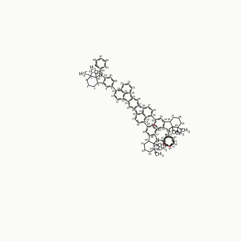 CC1(C)CCCC2c3cc(-c4ccc5c6cc7c(cc6c6cccc4c65)c4ccc(-c5ccc6c(c5)C5CCCC(C)(C)C5(C)N6c5ccccc5)c5c(-c6ccc8c(c6)C6CCCC(C)(C)C6(C)N8c6ccccc6)ccc7c54)ccc3N(c3ccccc3)C21C